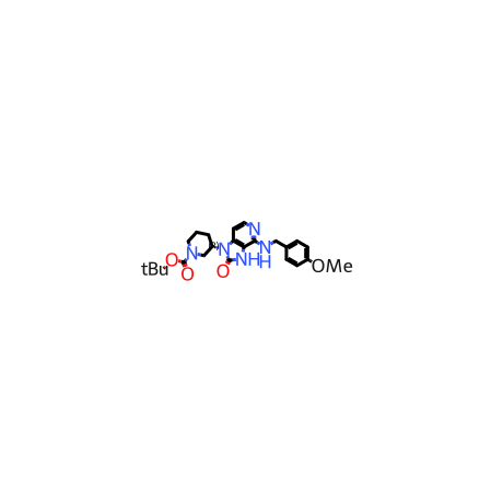 COc1ccc(CNc2nccc3c2[nH]c(=O)n3[C@@H]2CCCN(C(=O)OC(C)(C)C)C2)cc1